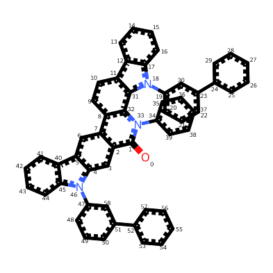 O=c1c2cc3c(cc2c2ccc4c5ccccc5n(-c5cccc(-c6ccccc6)c5)c4c2n1-c1ccccc1)c1ccccc1n3-c1cccc(-c2ccccc2)c1